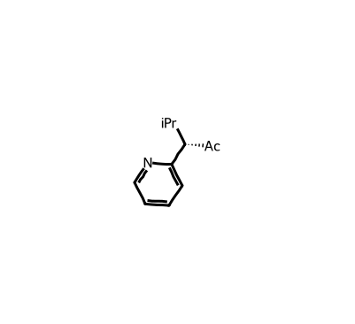 CC(=O)[C@H](c1ccccn1)C(C)C